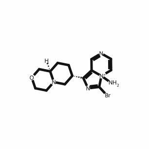 N[N+]12C=CN=CC1=C([C@H]1CC[C@@H]3COCCN3C1)N=C2Br